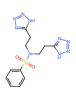 O=S(=O)(c1ccccc1)N(CCc1nnn[nH]1)CCc1nnn[nH]1